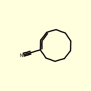 N#CC1=C=CCCCCCCC1